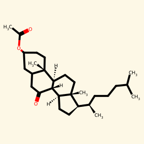 CC(=O)OC1CC[C@@]2(C)C(CC(=O)[C@H]3[C@@H]4CC[C@H]([C@H](C)CCCC(C)C)[C@@]4(C)CC[C@@H]32)C1